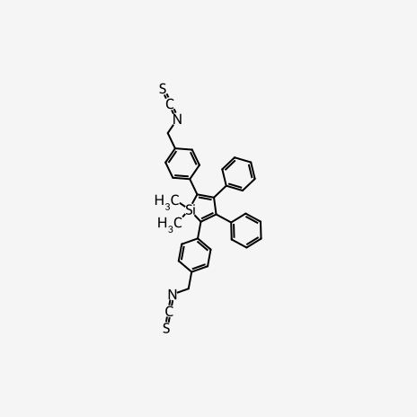 C[Si]1(C)C(c2ccc(CN=C=S)cc2)=C(c2ccccc2)C(c2ccccc2)=C1c1ccc(CN=C=S)cc1